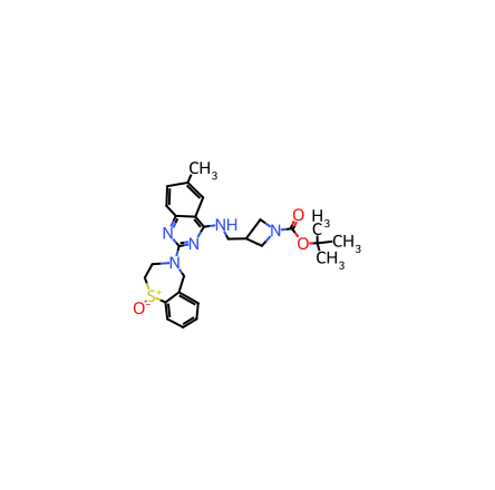 Cc1ccc2nc(N3CC[S+]([O-])c4ccccc4C3)nc(NCC3CN(C(=O)OC(C)(C)C)C3)c2c1